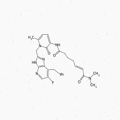 Cc1ccc(NC(=O)CCC/C=C/C(=O)N(C)C)c(=O)n1Cc1nc2c(CC(C)C)c(F)cnc2[nH]1